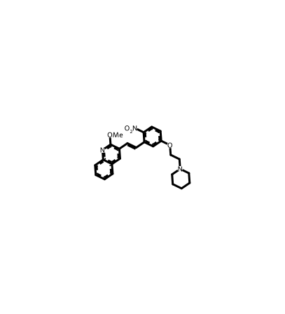 COc1nc2ccccc2cc1C=Cc1cc(OCCN2CCCCC2)ccc1[N+](=O)[O-]